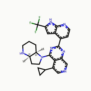 FC(F)(F)c1cc2c(-c3nc(N4CC[C@H]5NCCC[C@H]54)c4c(C5CC5)cncc4n3)ccnc2[nH]1